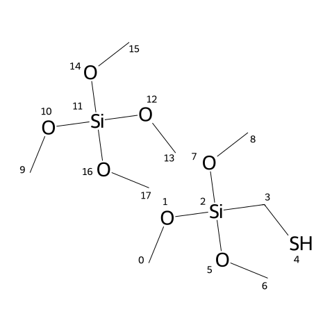 CO[Si](CS)(OC)OC.CO[Si](OC)(OC)OC